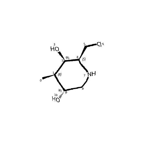 C[C@H]1[C@@H](O)[C@@H](CCl)NC[C@@H]1O